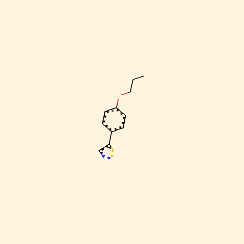 CCCOc1ccc(-c2c[nH]s2)cc1